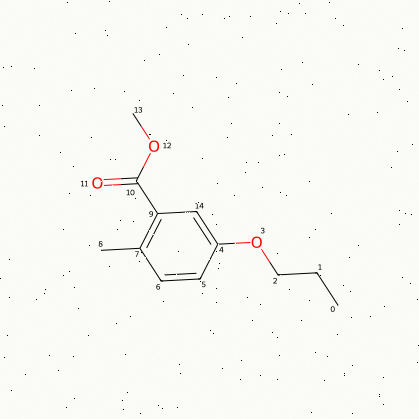 CCCOc1ccc(C)c(C(=O)OC)c1